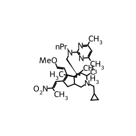 CCCN(C[C@H]1CC2(C)C(C)N(CC3CC3)CC3CC(/C=C(\C)[N+](=O)[O-])=C(/C=C/OC)C32C1C)c1nc(C)cc(C)n1